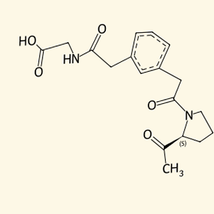 CC(=O)[C@@H]1CCCN1C(=O)Cc1cccc(CC(=O)NCC(=O)O)c1